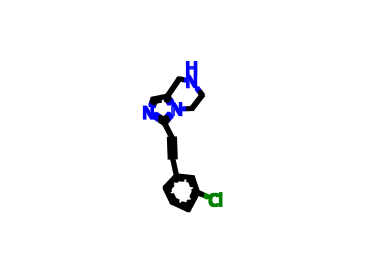 Clc1cccc(C#Cc2ncc3n2CCNC3)c1